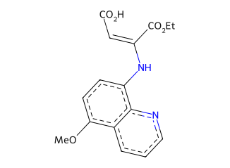 CCOC(=O)C(=CC(=O)O)Nc1ccc(OC)c2cccnc12